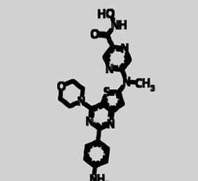 CN(c1cnc(C(=O)NO)cn1)c1cc2nc(-c3ccc(N)cc3)nc(N3CCOCC3)c2s1